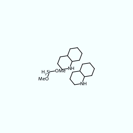 C1CCC2NCCCC2C1.C1CCC2NCCCC2C1.CO[SiH2]OC